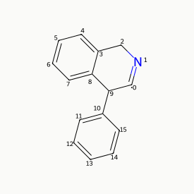 [C]1=NCc2ccccc2C1c1ccccc1